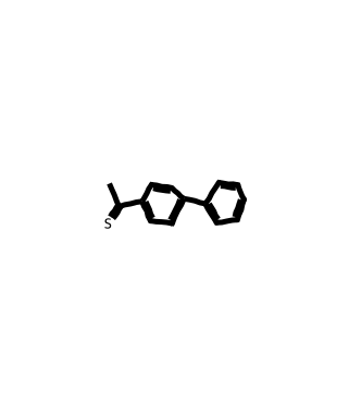 CC(=S)c1ccc(-c2ccccc2)cc1